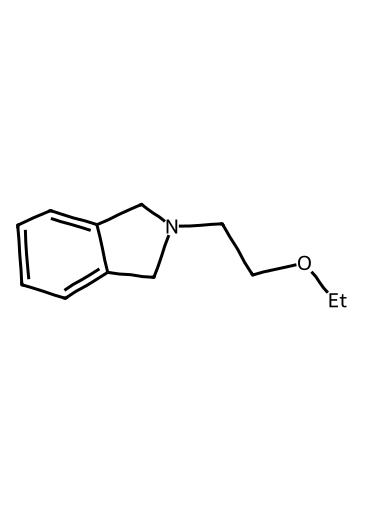 CCOCCN1Cc2ccccc2C1